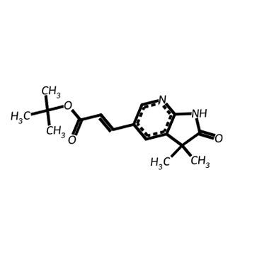 CC(C)(C)OC(=O)/C=C/c1cnc2c(c1)C(C)(C)C(=O)N2